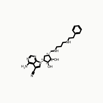 N#Cc1cn([C@@H]2C[C@H](CNCCCNCCc3ccccc3)[C@@H](O)[C@H]2O)c2ncnc(N)c12